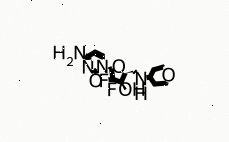 Nc1ccn([C@@H]2O[C@H](CNC3CCOCC3)[C@@H](O)C2(F)F)c(=O)n1